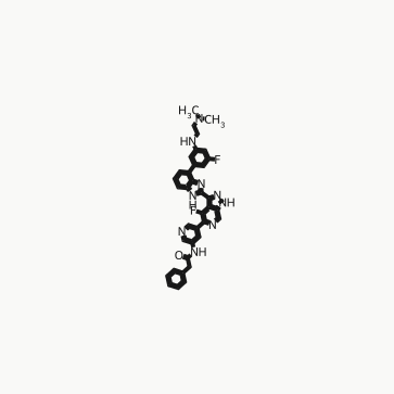 CN(C)CCNc1cc(F)cc(-c2cccc3[nH]c(-c4n[nH]c5cnc(-c6cncc(NC(=O)Cc7ccccc7)c6)c(F)c45)nc23)c1